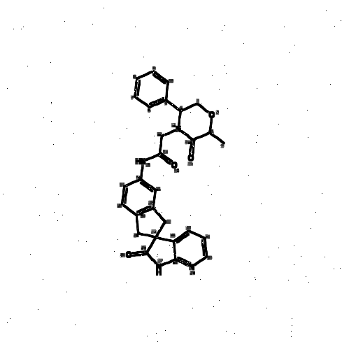 CC1OCC(c2ccccc2)N(CC(=O)Nc2ccc3c(c2)CC2(C3)C(=O)Nc3ncccc32)C1=O